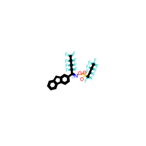 O=S(=O)(O/N=C(/c1ccc2c(c1)Cc1ccccc1-2)C(F)(F)C(F)(F)C(F)(F)C(F)F)C(F)(F)C(F)(F)C(F)(F)C(F)(F)F